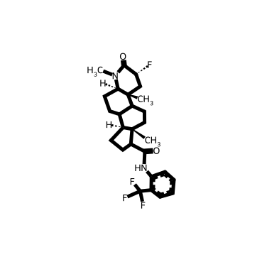 CN1C(=O)[C@H](F)C[C@]2(C)C3CC[C@]4(C)C(C(=O)Nc5ccccc5C(F)(F)F)CC[C@H]4C3CC[C@@H]12